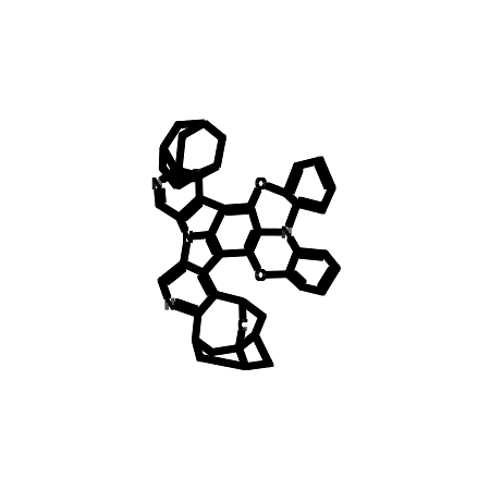 c1ccc2c(c1)Oc1c3c(c4c5c6c(ncc5n5c7cnc8c(c7c1c45)C1CC4CC(CC8C4)C1)C1CC4CC5CC6CC45C1)Oc1ccccc1N23